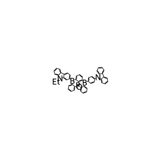 CCn1c2ccccc2c2ccc(B3c4ccccc4P4(=O)c5ccccc5B(c5ccc(-n6c7ccccc7c7ccccc76)cc5)c5cccc3c54)cc21